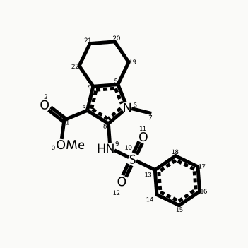 COC(=O)c1c2c(n(C)c1NS(=O)(=O)c1ccccc1)CCCC2